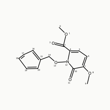 COC(=O)c1ccc(OC)c(=O)n1OCc1ccccc1